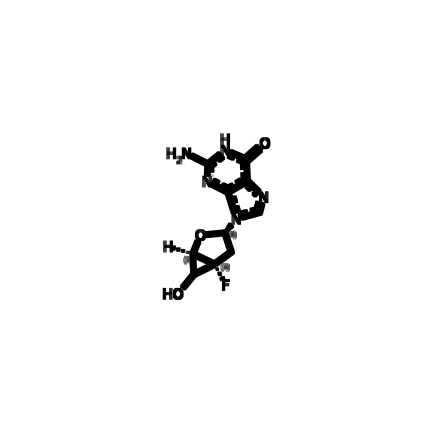 Nc1nc2c(ncn2[C@H]2C[C@@]3(F)C(O)[C@H]3O2)c(=O)[nH]1